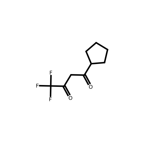 O=C(CC(=O)C(F)(F)F)C1CCCC1